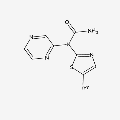 CC(C)c1cnc(N(C(N)=O)c2cnccn2)s1